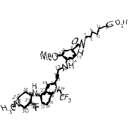 COc1cc(C(=O)NCCCCCC(=O)O)ccc1NCC#Cc1cc2c(N[C@@H]3CCN(C)C[C@@H]3F)cccc2n1CC(F)(F)F